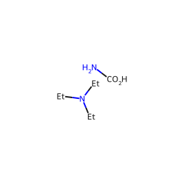 CCN(CC)CC.NC(=O)O